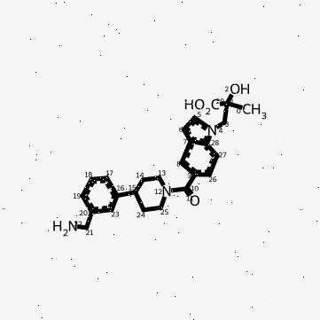 CC(O)(Cn1ccc2cc(C(=O)N3CCC(c4cccc(CN)c4)CC3)ccc21)C(=O)O